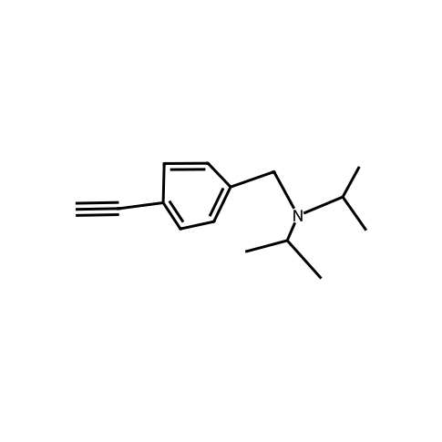 C#Cc1ccc(CN(C(C)C)C(C)C)cc1